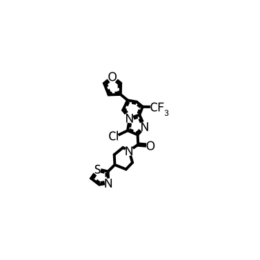 O=C(c1nc2c(C(F)(F)F)cc(-c3ccoc3)cn2c1Cl)N1CCC(c2nccs2)CC1